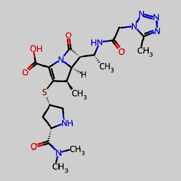 Cc1nnnn1CC(=O)N[C@H](C)[C@H]1C(=O)N2C(C(=O)O)=C(S[C@@H]3CN[C@H](C(=O)N(C)C)C3)[C@H](C)[C@H]12